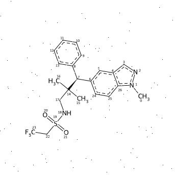 Cn1ncc2cc([C@H](c3ccccc3)C(C)(C)CNS(=O)(=O)CC(F)(F)F)ccc21